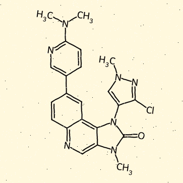 CN(C)c1ccc(-c2ccc3ncc4c(c3c2)n(-c2cn(C)nc2Cl)c(=O)n4C)cn1